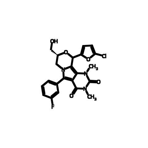 Cn1c(=O)c2c(-c3cccc(F)c3)n3c(c2n(C)c1=O)C(c1ccc(Cl)o1)O[C@@H](CO)C3